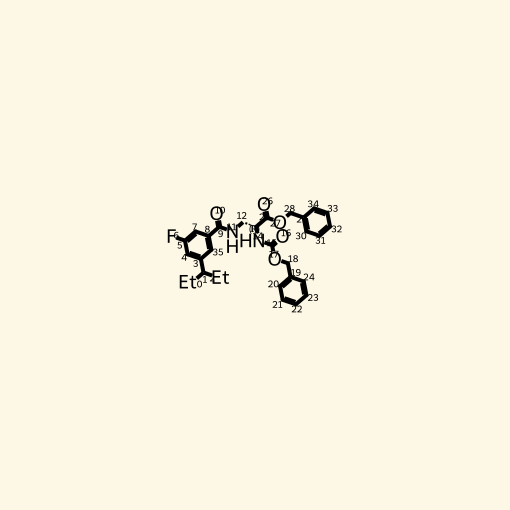 CCC(CC)c1cc(F)cc(C(=O)NC[C@@H](NC(=O)OCc2ccccc2)C(=O)OCc2ccccc2)c1